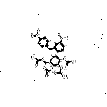 CC(=O)OC[C@H]1O[C@H](c2ccc([N+](=O)[O-])cc2[CH]c2ccc([N+](=O)[O-])cc2)[C@H](OC(C)=O)[C@@H](OC(C)=O)[C@H]1OC(C)=O